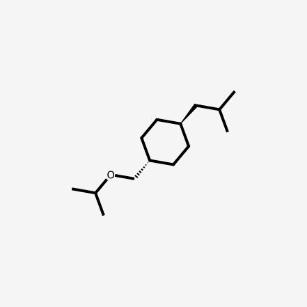 CC(C)C[C@H]1CC[C@H](COC(C)C)CC1